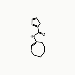 O=C(NC1=CCCCCCC1)C1=CC=CC1